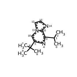 CC(C)c1nc(C(C)(C)C)cn2ccnc12